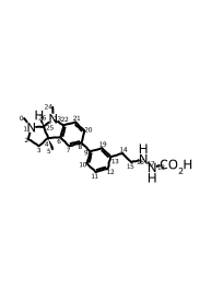 CN1CC[C@@]2(C)c3cc(-c4cccc(CCNNC(=O)O)c4)ccc3N(C)[C@@H]12